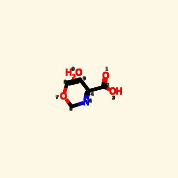 O.O=C(O)C1=NCOC=C1